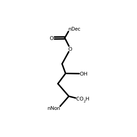 CCCCCCCCCCC(=O)OCC(O)CC(CCCCCCCCC)C(=O)O